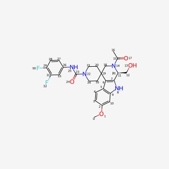 COc1ccc2c3c([nH]c2c1)[C@H](CO)N(C(C)=O)CC31CCN(C(=O)Nc2ccc(F)c(F)c2)CC1